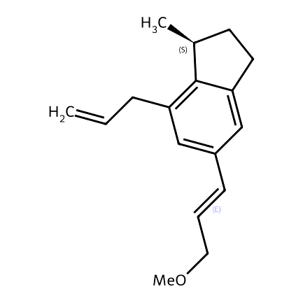 C=CCc1cc(/C=C/COC)cc2c1[C@@H](C)CC2